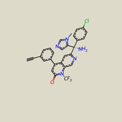 C#Cc1cccc(-c2cc(=O)n(C(F)(F)F)c3cnc([C@](N)(c4ccc(Cl)cc4)c4cncn4C)cc23)c1